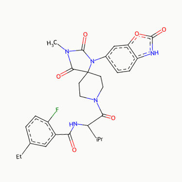 CCc1ccc(F)c(C(=O)NC(C(=O)N2CCC3(CC2)C(=O)N(C)C(=O)N3c2ccc3[nH]c(=O)oc3c2)C(C)C)c1